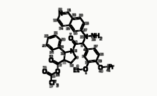 CCOc1cc(C(C(=O)N2CCC(C(=O)OC(=O)C(F)(F)F)C2c2ccccc2)N(N)c2ccc3cnccc3c2)ccc1OC(C)C